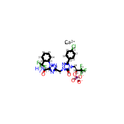 NC(=O)c1nc(Cn2nc(-c3ccc(Cl)cc3)n(C[C@H](OP(=O)([O-])[O-])C(F)(F)F)c2=O)nn1-c1ccccc1C(F)(F)F.[Ca+2]